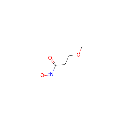 COCCC(=O)N=O